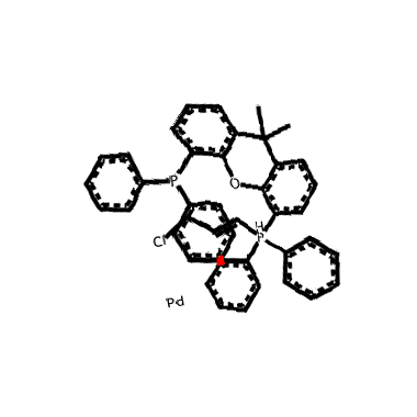 CC1(C)c2cccc(P(c3ccccc3)c3ccccc3)c2Oc2c1cccc2[PH](C=CCCl)(c1ccccc1)c1ccccc1.[Pd]